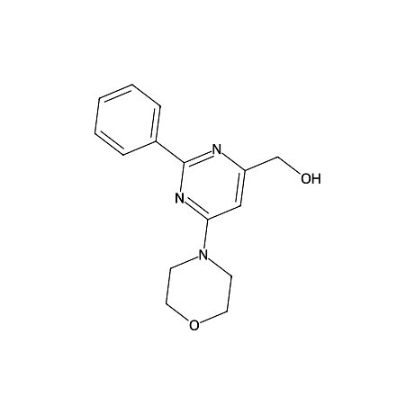 OCc1cc(N2CCOCC2)nc(-c2ccccc2)n1